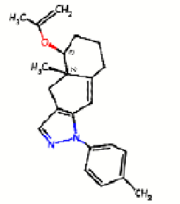 C=C(C)O[C@H]1CCCC2=Cc3c(cnn3-c3ccc(C)cc3)C[C@@]21C